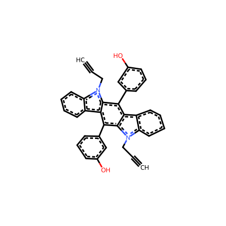 C#CCn1c2ccccc2c2c(-c3cccc(O)c3)c3c(c(-c4cccc(O)c4)c21)c1ccccc1n3CC#C